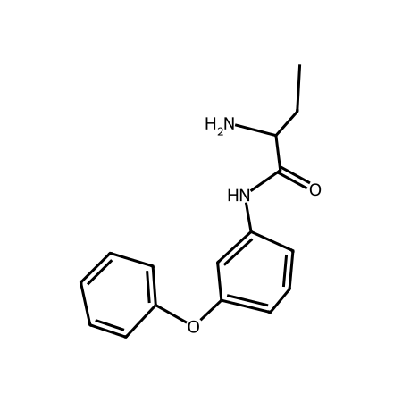 CCC(N)C(=O)Nc1cccc(Oc2ccccc2)c1